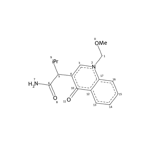 COCn1cc(C(C(N)=O)C(C)C)c(=O)c2ccccc21